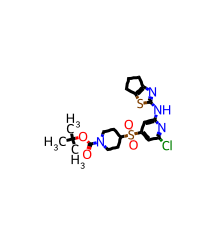 CC(C)(C)OC(=O)N1CCC(S(=O)(=O)c2cc(Cl)nc(Nc3nc4c(s3)CCC4)c2)CC1